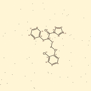 O=C(N(CCOc1ccccc1Cl)Cc1ccccc1)n1ccnc1